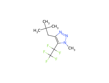 Cn1nnc(CC(C)(C)C)c1C(F)(F)C(F)(F)F